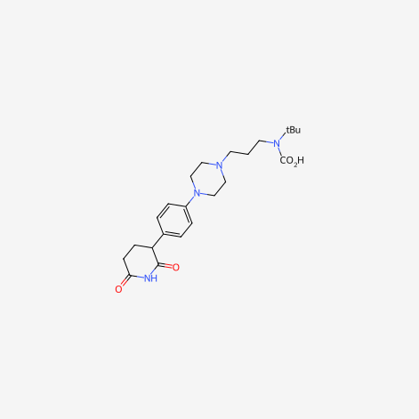 CC(C)(C)N(CCCN1CCN(c2ccc(C3CCC(=O)NC3=O)cc2)CC1)C(=O)O